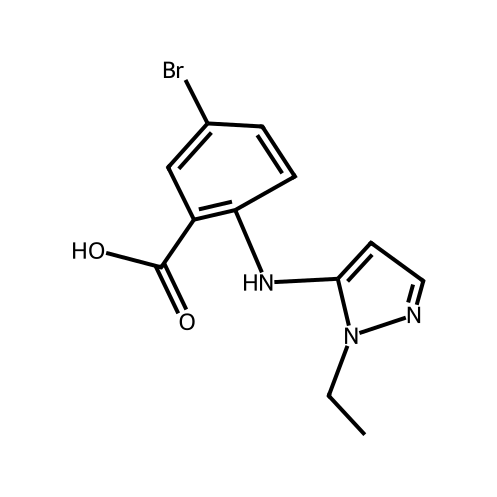 CCn1nccc1Nc1ccc(Br)cc1C(=O)O